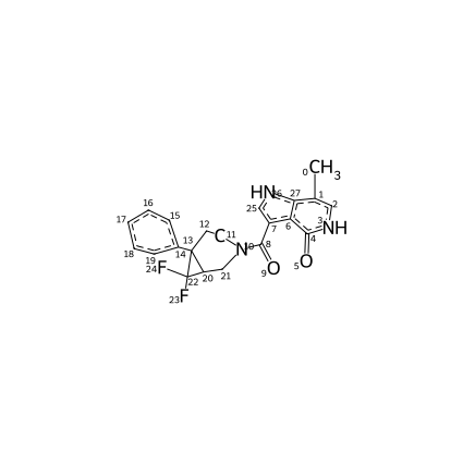 Cc1c[nH]c(=O)c2c(C(=O)N3CCC4(c5ccccc5)C(C3)C4(F)F)c[nH]c12